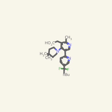 CCCCC(F)(F)c1ccc(-c2cnc(C)c(CC(=O)O)c2N2CCC(C)(C)CC2)nc1